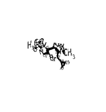 Cn1nnc(-c2nc(S(C)(=O)=O)ncc2Br)c1CC1CC1